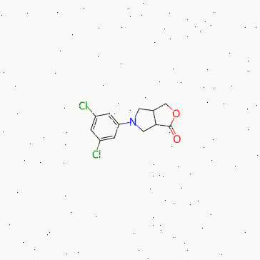 O=C1OCC2CN(c3cc(Cl)cc(Cl)c3)CC12